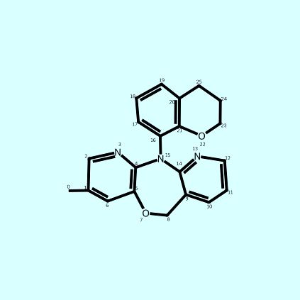 Cc1cnc2c(c1)OCc1cccnc1N2c1cccc2c1OCCC2